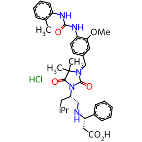 COc1cc(CN2C(=O)N([C@H](CN[C@@H](CC(=O)O)c3ccccc3)CC(C)C)C(=O)C2(C)C)ccc1NC(=O)Nc1ccccc1C.Cl